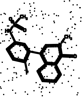 Cn1cc(-c2cc(NS(C)(=O)=O)ccc2F)c2ccccc2c1=O